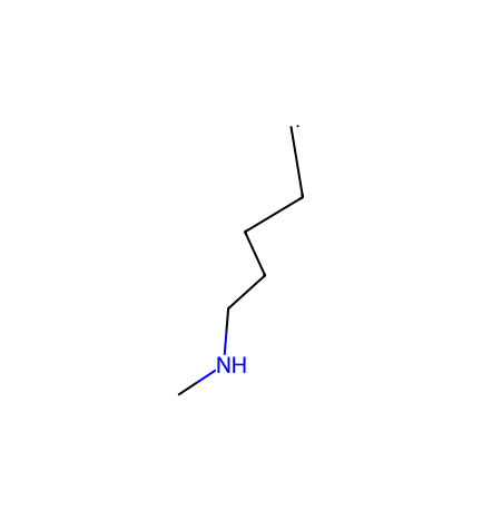 [CH2]CCCCNC